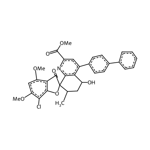 COC(=O)c1cc(-c2ccc(-c3ccccc3)cc2)c2c(n1)C1(Oc3c(Cl)c(OC)cc(OC)c3C1=O)C(C)CC2O